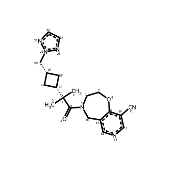 CC(C)(C(=O)N1CCOc2c(C#N)cncc2C1)[C@H]1C[C@@H](Cn2nccn2)C1